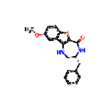 COc1ccc2sc3c(c2c1)NC[C@@H](Cc1ccccc1)NC3=O